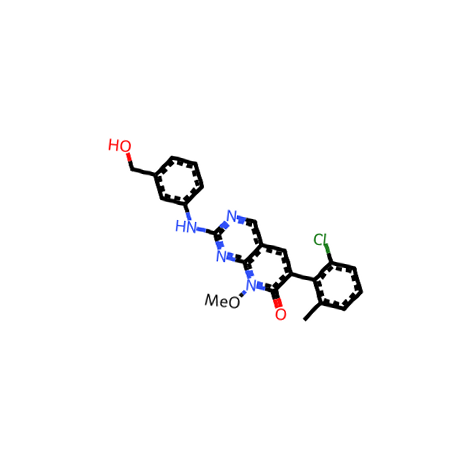 COn1c(=O)c(-c2c(C)cccc2Cl)cc2cnc(Nc3cccc(CO)c3)nc21